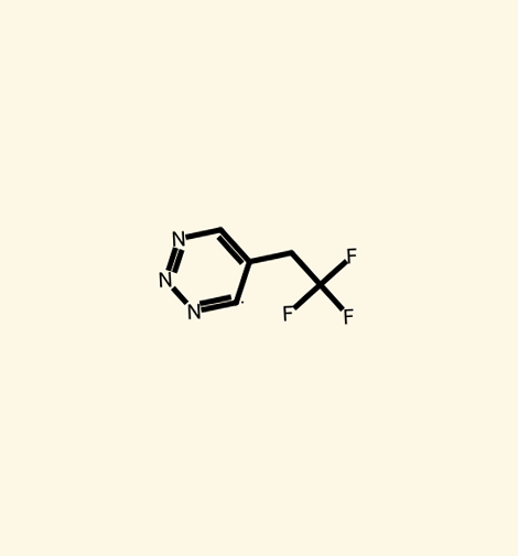 FC(F)(F)Cc1[c]nnnc1